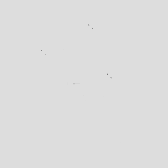 CCCC(=O)Nc1cnc2cccnc2c1O